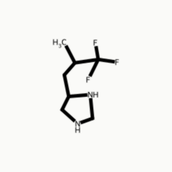 CC(CC1CNCN1)C(F)(F)F